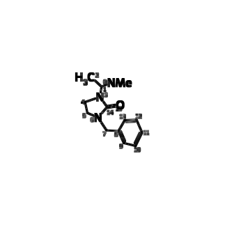 CNC(C)N1CCN(Cc2ccccc2)C1=O